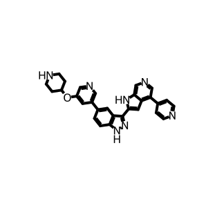 c1cc(-c2cncc3[nH]c(-c4n[nH]c5ccc(-c6cncc(OC7CCNCC7)c6)cc45)cc23)ccn1